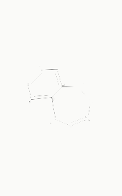 C1=NSSc2ccccc2C1